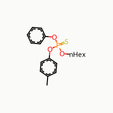 CCCCCCOP(=S)(Oc1ccccc1)Oc1ccc(C)cc1